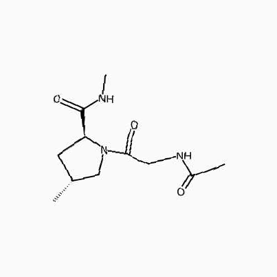 CNC(=O)[C@@H]1C[C@@H](C)CN1C(=O)CNC(C)=O